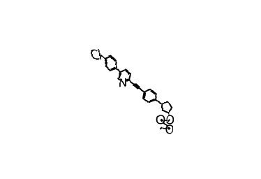 CS(=O)(=O)OC1CCC(c2ccc(C#Cc3ccc(-c4ccc(Cl)cc4)cn3)cc2)C1